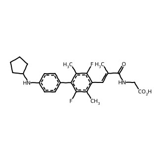 C/C(=C\c1c(C)c(F)c(-c2ccc(NC3CCCC3)cc2)c(C)c1F)C(=O)NCC(=O)O